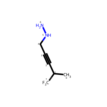 CC(C#CCNN)C(F)(F)F